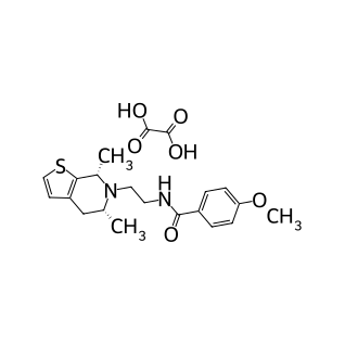 COc1ccc(C(=O)NCCN2[C@H](C)Cc3ccsc3[C@@H]2C)cc1.O=C(O)C(=O)O